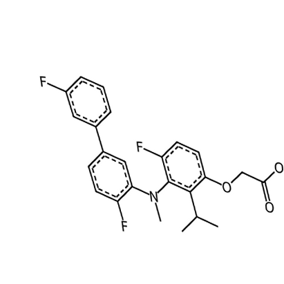 CC(C)c1c(OCC(=O)O)ccc(F)c1N(C)c1cc(-c2cccc(F)c2)ccc1F